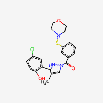 CC1=CN(C(=O)c2cccc(SN3CCOCC3)c2)NC1c1cc(Cl)ccc1O